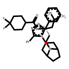 CC(N)Cc1nnc(C(C)C)n1C1CC2CCC(C1)N2CC[C@H](NC(=O)C1CCC(F)(F)CC1)c1ccccc1